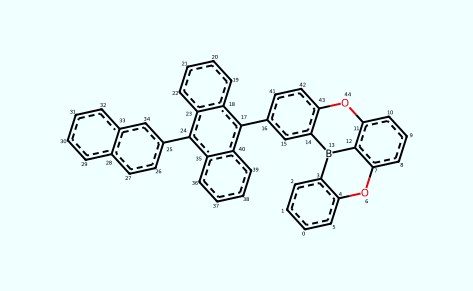 c1ccc2c(c1)Oc1cccc3c1B2c1cc(-c2c4ccccc4c(-c4ccc5ccccc5c4)c4ccccc24)ccc1O3